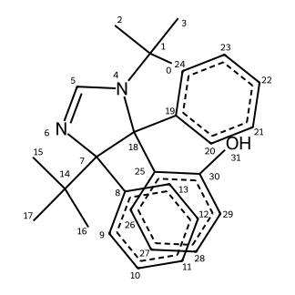 CC(C)(C)N1C=NC(c2ccccc2)(C(C)(C)C)C1(c1ccccc1)c1ccccc1O